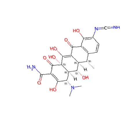 C[C@H]1c2ccc(N=C=N)c(O)c2C(=O)C2=C(O)[C@]3(O)C(=O)C(C(N)=O)=C(O)[C@@H](N(C)C)[C@@H]3[C@@H](O)[C@@H]21